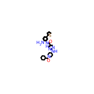 Nc1ccc(-c2cccs2)cc1NC(=O)c1cnc(NC2CCN(C(=O)C3CCCCC3)CC2)nc1